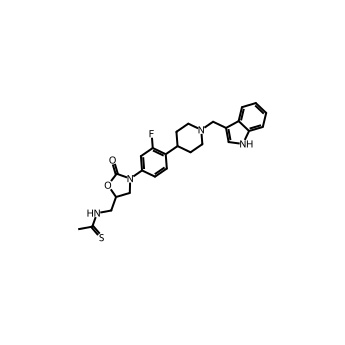 CC(=S)NCC1CN(c2ccc(C3CCN(Cc4c[nH]c5ccccc45)CC3)c(F)c2)C(=O)O1